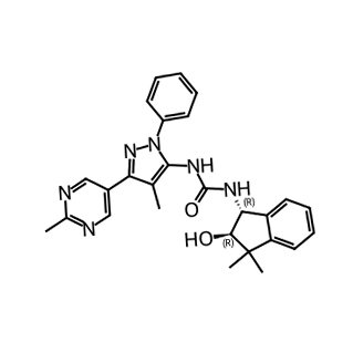 Cc1ncc(-c2nn(-c3ccccc3)c(NC(=O)N[C@@H]3c4ccccc4C(C)(C)[C@H]3O)c2C)cn1